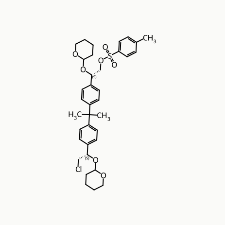 Cc1ccc(S(=O)(=O)OC[C@@H](OC2CCCCO2)c2ccc(C(C)(C)c3ccc([C@@H](CCl)OC4CCCCO4)cc3)cc2)cc1